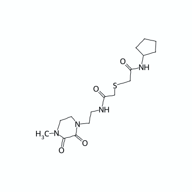 CN1CCN(CCNC(=O)CSCC(=O)NC2CCCC2)C(=O)C1=O